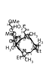 CCC1=C(C)c2cc3[nH]c(cc4nc(c(CC(=O)OC)c5[nH]c(cc1n2)c(C)c5C(=O)NCCOCCOC)C(CCC(=O)O)C4C)c(C)c3CC